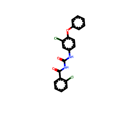 O=C(NC(=O)c1ccccc1Cl)Nc1ccc(Oc2ccccc2)c(Cl)c1